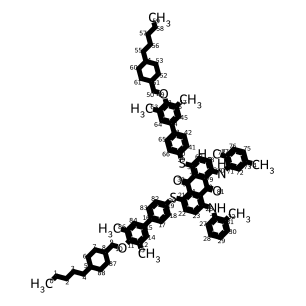 CCCCCC1CCC(COc2c(C)cc(-c3ccc(Sc4ccc(Nc5ccccc5C)c5c4C(=O)c4c(Sc6ccc(-c7cc(C)c(OCC8CCC(CCCCC)CC8)c(C)c7)cc6)ccc(Nc6cc(C)ccc6C)c4C5=O)cc3)cc2C)CC1